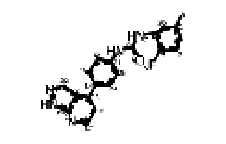 Cc1ccc(F)c(NC(=O)Nc2ccc(-c3ccnc4[nH]ncc34)cc2)c1